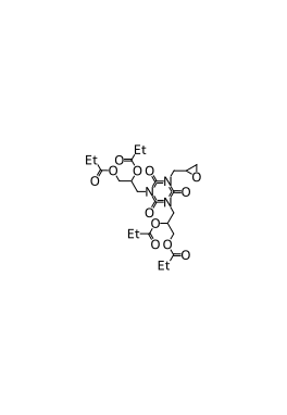 CCC(=O)OCC(Cn1c(=O)n(CC2CO2)c(=O)n(CC(COC(=O)CC)OC(=O)CC)c1=O)OC(=O)CC